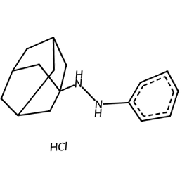 Cl.c1ccc(NNC23CC4CC(CC(C4)C2)C3)cc1